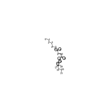 CCCCCCOC(=O)C=CC(=O)OOOC(C)(C)CCC